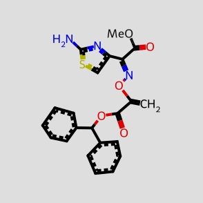 C=C(ON=C(C(=O)OC)c1csc(N)n1)C(=O)OC(c1ccccc1)c1ccccc1